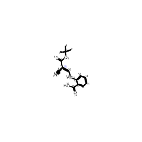 CC(C)(C)OC(=O)/C(C#N)=C/Nc1ccccc1C(=O)O